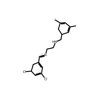 ClC1=CC(Cl)CC(/C=N/CCNCC2C=C(I)C=C(I)C2)=C1